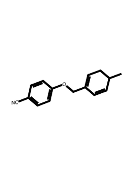 CC1C=CC(COc2ccc(C#N)cc2)=CC1